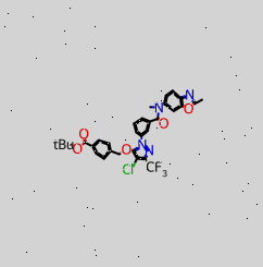 Cc1nc2ccc(N(C)C(=O)c3cccc(-n4nc(C(F)(F)F)c(Cl)c4OCc4ccc(C(=O)OC(C)(C)C)cc4)c3)cc2o1